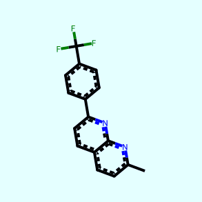 Cc1ccc2ccc(-c3ccc(C(F)(F)F)cc3)nc2n1